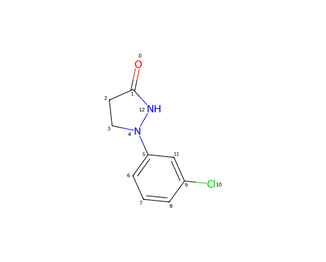 O=C1CCN(c2cccc(Cl)c2)N1